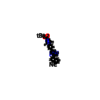 CC1CN(C(=O)OC(C)(C)C)CC(C)N1c1ccc(-c2cnc3c(-c4cccc5c(C#N)cccc45)cnn3c2)cc1